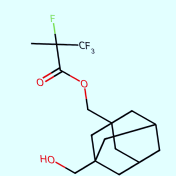 CC(F)(C(=O)OCC12CC3CC(CC(CO)(C3)C1)C2)C(F)(F)F